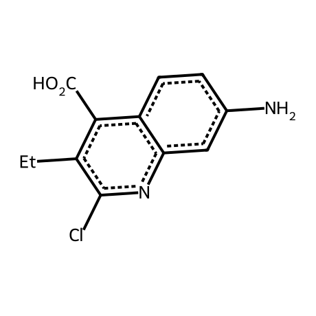 CCc1c(Cl)nc2cc(N)ccc2c1C(=O)O